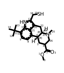 COC(=O)C1C[C@@H]2c3ccc(C(C)(C)C)c4[nH]c(CS)c(c34)C[C@H]2N(C)C1